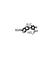 CNc1cc2ncc(-c3cc(NC(=O)O)c(F)cc3C)cc2cn1